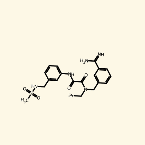 CC(C)CN(Cc1cccc(C(=N)N)c1)C(=O)C(=O)Nc1cccc(CNS(C)(=O)=O)c1